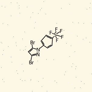 FS(F)(F)(F)(F)c1ccc(-n2nc(Br)cc2Br)cc1